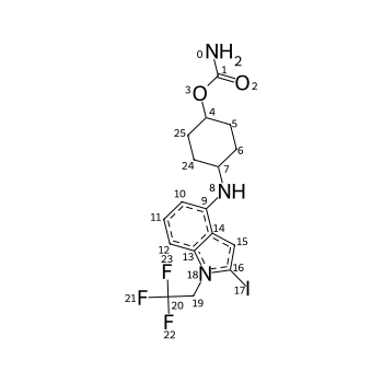 NC(=O)OC1CCC(Nc2cccc3c2cc(I)n3CC(F)(F)F)CC1